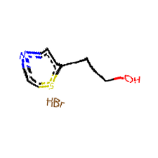 Br.OCCc1cncs1